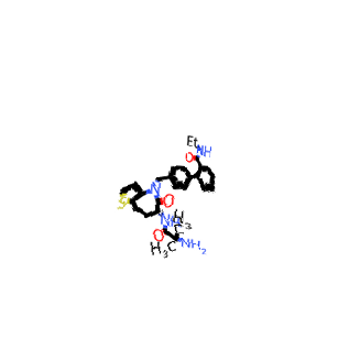 CCNC(=O)c1ccccc1-c1ccc(CN2C(=O)[C@H](NC(=O)C(C)(C)N)CCc3sccc32)cc1